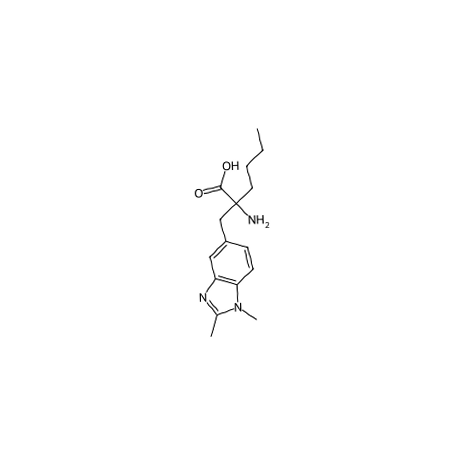 CCCCC(N)(Cc1ccc2c(c1)nc(C)n2C)C(=O)O